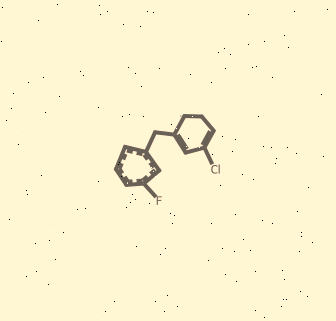 Fc1cccc(CC2=CC(Cl)=CC[CH]2)c1